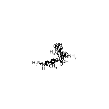 C[n+]1cc(NCCN)ccc1-c1ccc(OC[C@H](O/N=C(\C(=O)N[C@@H]2C(=O)N(OS(=O)(=O)O)C2(C)C)c2csc(N)n2)C(=O)O)cc1